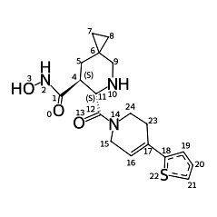 O=C(NO)[C@H]1CC2(CC2)CN[C@@H]1C(=O)N1CC=C(c2cccs2)CC1